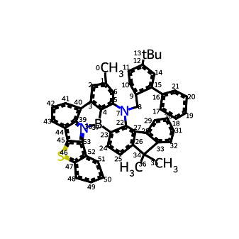 Cc1cc2c3c(c1)N(Cc1ccc(C(C)(C)C)cc1-c1ccccc1)c1c(ccc4c1-c1ccccc1C4(C)C)B3n1c3c-2cccc3c2sc3ccccc3c21